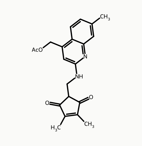 CC(=O)OCc1cc(NCC2C(=O)C(C)=C(C)C2=O)nc2cc(C)ccc12